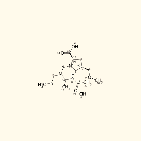 CCCC(CN1C[C@H](COC)C[C@@H]1C(=O)O)C(C)NC(C)=O.Cl